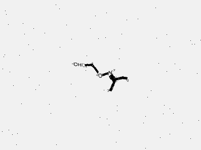 CC(C)=NOC[C]=O